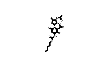 CCCCCOC(=O)Nc1nc(=O)n([C@@H]2OC(C)[C@@H](OC(C)=O)[C@H]2OC(C)=O)cc1F